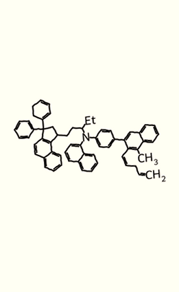 C=CC/C=C\c1c(-c2ccc(N(c3cccc4ccccc34)C(CC)CCC3CC(C4=CC=CCC4)(c4ccccc4)c4ccc5ccccc5c43)cc2)cc2ccccc2c1C